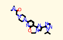 CC(C)n1ncnc1-c1cn2c(n1)-c1ccc(N3CCN(CC(=O)N(C)C)CC3)nc1OCC2